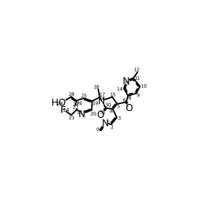 C=N/C=C\C1=C(C(=O)c2ccc(C)nc2)CN(C(C)C(/C=N\CCF)=C/C(C)=C/O)C1=O